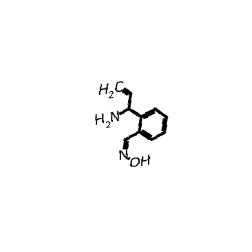 C=CC(N)c1ccccc1/C=N\O